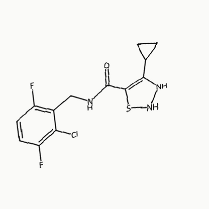 O=C(NCc1c(F)ccc(F)c1Cl)C1=C(C2CC2)NNS1